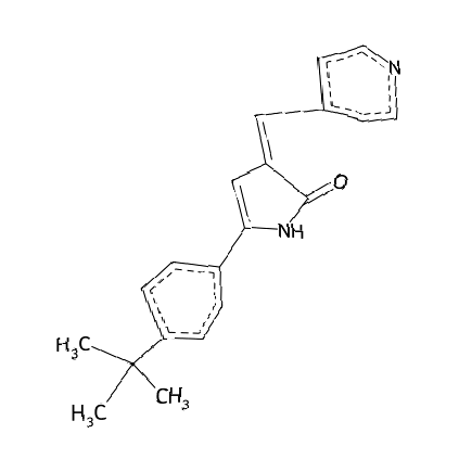 CC(C)(C)c1ccc(C2=CC(=Cc3ccncc3)C(=O)N2)cc1